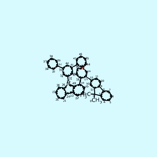 CC1(C)c2ccccc2-c2ccc(-c3cnccc3-c3cccc4c5ccccc5n(-c5cc(-c6ccccc6)cc(-c6ccccc6)c5)c34)cc21